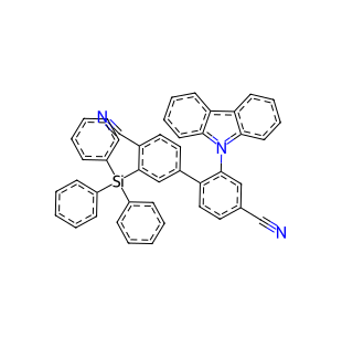 N#Cc1ccc(-c2ccc(C#N)c([Si](c3ccccc3)(c3ccccc3)c3ccccc3)c2)c(-n2c3ccccc3c3ccccc32)c1